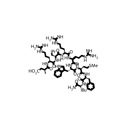 CC[C@H](C)[C@H](NC(=O)[C@H](Cc1ccccc1)NC(=O)[C@H](CCSC)NC(=O)[C@H](Cc1c[nH]c2ccccc12)NC(=O)/C(=C\CCNC(=N)N)NC(=O)[C@H](CCCNC(=N)N)NC(=O)[C@H](CC(C)C)NC(=O)[C@H](CCCNC(=N)N)NC(=O)[C@@H](C)CC(=O)O)C(N)=O